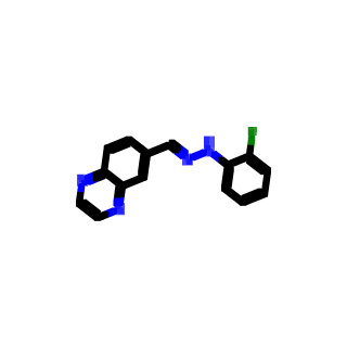 Fc1ccccc1NN=Cc1ccc2nccnc2c1